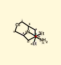 CCC(CC)N1C2COCC1CC(N)C2